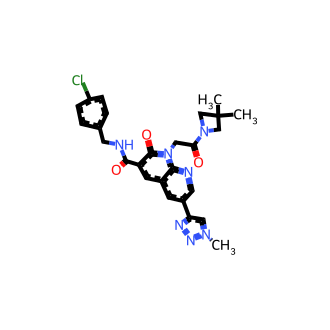 Cn1cc(-c2cnc3c(c2)cc(C(=O)NCc2ccc(Cl)cc2)c(=O)n3CC(=O)N2CC(C)(C)C2)nn1